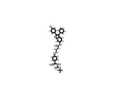 CC(C)(C)OC(=O)NC(=N)c1ccc(OCCCNCc2ccc3c(-c4ccncc4)c(-c4ccc(F)cc4)nn3c2)cc1